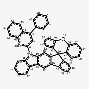 c1ccc(-c2cc(-n3c4ccccc4c4cc5c(cc43)C3(c4ccccc4Oc4ccccc43)c3ccccc3-5)nc3ccccc23)cc1